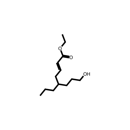 CCCC(CC=CC(=O)OCC)CCCO